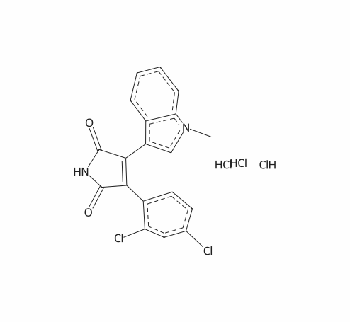 Cl.Cl.Cl.Cn1cc(C2=C(c3ccc(Cl)cc3Cl)C(=O)NC2=O)c2ccccc21